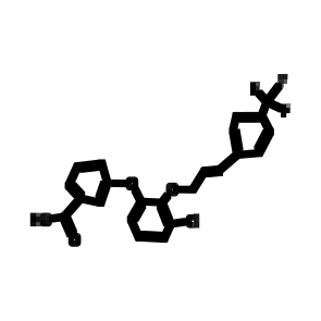 O=C(O)c1cccc(Oc2cccc(Cl)c2OCC=Cc2ccc(C(F)(F)F)cc2)c1